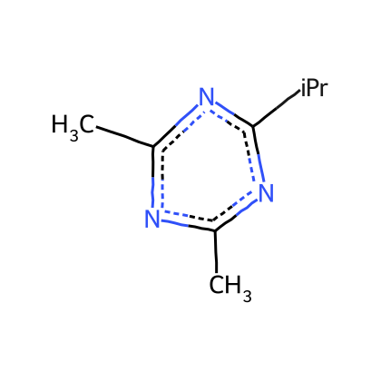 Cc1nc(C)nc(C(C)C)n1